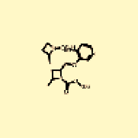 CC1CC(COc2cnccc2Br)N1C(=O)OC(C)(C)C.CC1CCN1C(=O)O